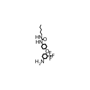 CCCCCNC(=O)Nc1ccc(Oc2ccc(N)cc2C(F)(F)F)cc1